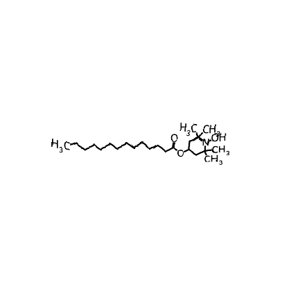 CCCCCCCCCCCCCC(=O)OC1CC(C)(C)N(O)C(C)(C)C1